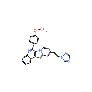 COc1ccc(-c2nc3ccccc3c3cc4cc(C=Cn5ccnc5)ccn4c23)cc1